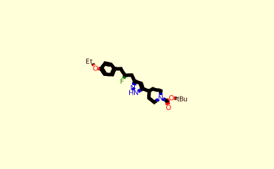 CCOc1ccc(CC(F)Cc2cc(C3CCN(C(=O)OC(C)(C)C)CC3)[nH]n2)cc1